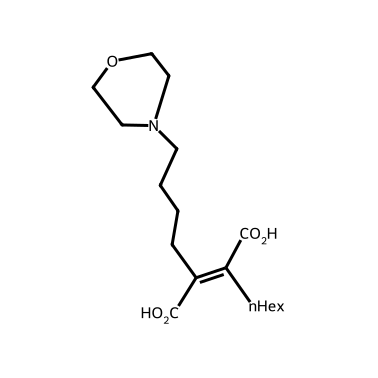 CCCCCCC(C(=O)O)=C(CCCCN1CCOCC1)C(=O)O